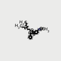 CCCCN(CCCC)CCCOc1c(C(=O)c2ccccc2)oc2ccc(/C=N/OC)cc12